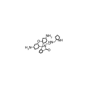 Nc1ccc2c(c1)Oc1cc(N)ccc1C21c2ccccc2C(=O)N1CCNCc1ccc[nH]1